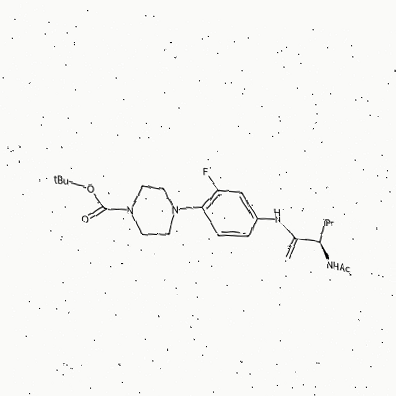 C=C(Nc1ccc(N2CCN(C(=O)OC(C)(C)C)CC2)c(F)c1)[C@H](NC(C)=O)C(C)C